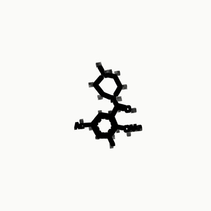 COc1c(C)cc(C(C)=O)cc1C(=O)N1CCN(C)CC1